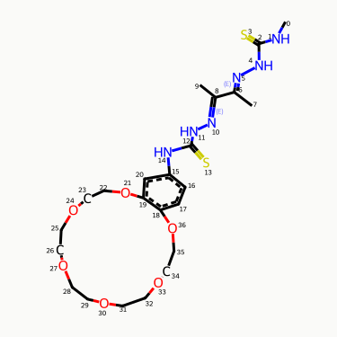 CNC(=S)N/N=C(C)/C(C)=N/NC(=S)Nc1ccc2c(c1)OCCOCCOCCOCCOCCO2